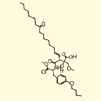 CCCCCCCC(=O)CCCCCCC=C[C@H](C(=O)N[C@@H](Cc1ccc(OCCCC)cc1)C(=O)OC)[C@@](O)(COC)C(=O)O